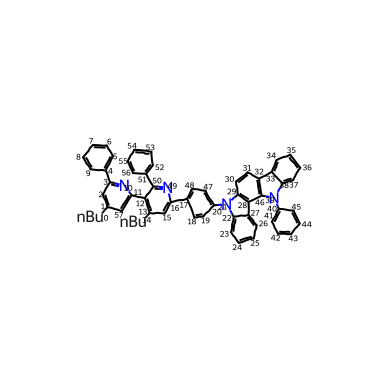 CCCCc1cc(-c2ccccc2)nc(-c2c(CCCC)cc(-c3ccc(-n4c5ccccc5c5c4ccc4c6ccccc6n(-c6ccccc6)c45)cc3)nc2-c2ccccc2)c1